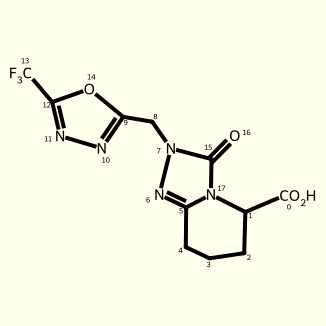 O=C(O)C1CCCc2nn(Cc3nnc(C(F)(F)F)o3)c(=O)n21